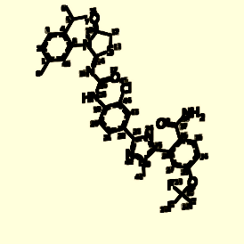 Cc1ccc(C(C)C)c(N2C(=O)CS/C2=N\C(=O)Nc2ccc(-c3nc(-c4cc(OC(F)(F)F)ccc4C(N)=O)n(C)n3)cc2Cl)c1